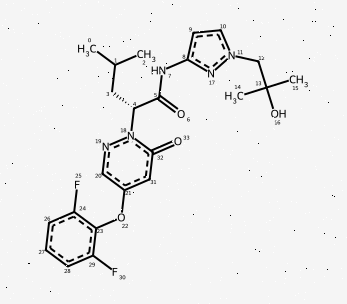 CC(C)C[C@H](C(=O)Nc1ccn(CC(C)(C)O)n1)n1ncc(Oc2c(F)cccc2F)cc1=O